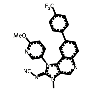 COc1ccc(-n2c(=NC#N)n(C)c3cnc4ccc(-c5ccc(C(F)(F)F)cc5)cc4c32)cn1